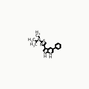 CCN(c1nc(C2=CNC3NC=C(c4ccccc4)C=C23)cs1)C(C)C